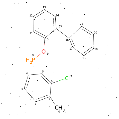 Cc1ccccc1Cl.POc1ccccc1-c1ccccc1